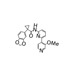 COc1cnccc1-c1cccc(NC(=O)C2(c3ccc4c(c3)OCO4)CC2)n1